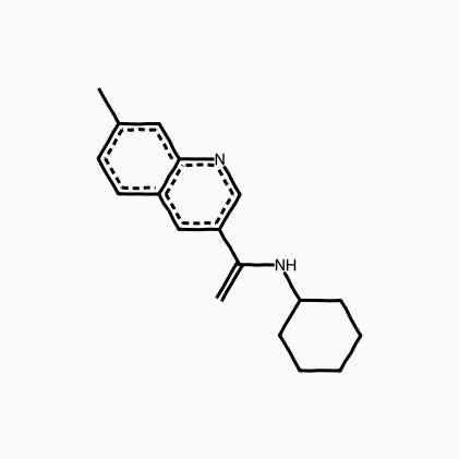 C=C(NC1CCCCC1)c1cnc2cc(C)ccc2c1